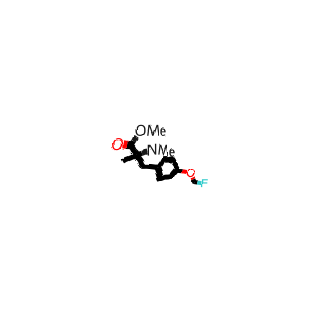 CNC(C)(Cc1ccc(OCF)cc1)C(=O)OC